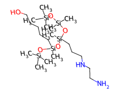 C[Si](C)(C)O[Si](C)(C)O[Si](C)(CCCNCCN)O[Si](C)(CCCCCO)O[Si](C)(C)C